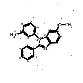 COc1ccc2nc(-c3ccccc3)n(-c3cccc(C)c3)c2c1